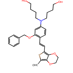 O=Cc1sc(C=Cc2ccc(N(CCCCO)CCCCO)cc2OCc2ccccc2)c2c1OCCO2